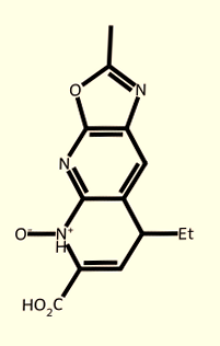 CCC1C=C(C(=O)O)[NH+]([O-])c2nc3oc(C)nc3cc21